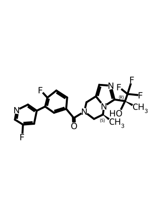 C[C@H]1CN(C(=O)c2ccc(F)c(-c3cncc(F)c3)c2)Cc2cnc([C@@](C)(O)C(F)(F)F)n21